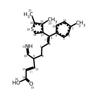 Cc1ccc(/C(=C/CCC(C=N)/C=C/C(=O)O)c2csc(C)c2C)cc1